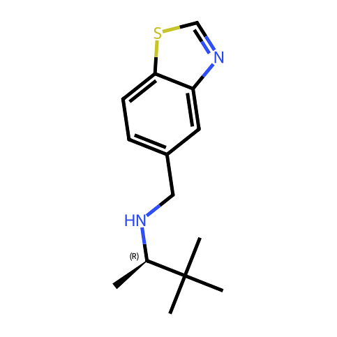 C[C@@H](NCc1ccc2scnc2c1)C(C)(C)C